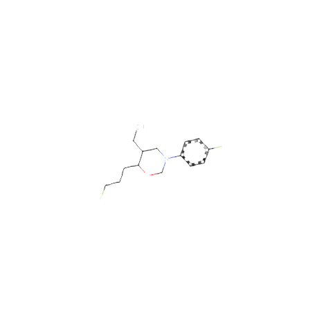 CCC1CN(c2ccc(F)cc2)COC1CCCF